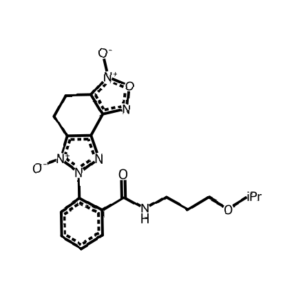 CC(C)OCCCNC(=O)c1ccccc1-n1nc2c([n+]1[O-])CCc1c-2no[n+]1[O-]